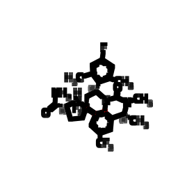 Cc1cc(F)cc(C)c1[C@H]1C[C@]2(CC[C@H](C(N)=O)N2)CCN1C(=O)N(C)[C@H](C)c1cc(C(F)(F)F)cc(C(F)(F)F)c1